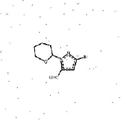 O=Cc1cc(Br)nn1C1CCCCO1